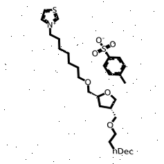 CCCCCCCCCCCCOC[C@H]1CO[C@H](COCCCCCCC[n+]2ccsc2)C1.Cc1ccc(S(=O)(=O)[O-])cc1